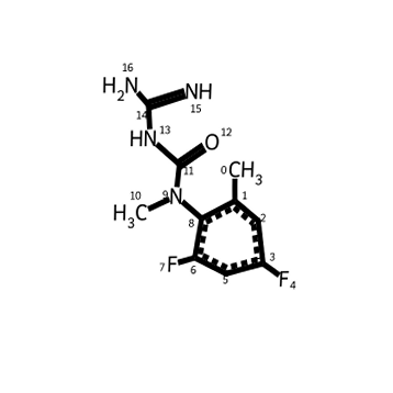 Cc1cc(F)cc(F)c1N(C)C(=O)NC(=N)N